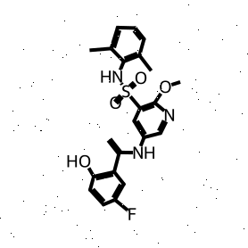 C=C(Nc1cnc(OC)c(S(=O)(=O)Nc2c(C)cccc2C)c1)c1cc(F)ccc1O